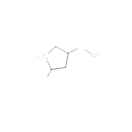 NOC1CNC(C(=O)O)C1